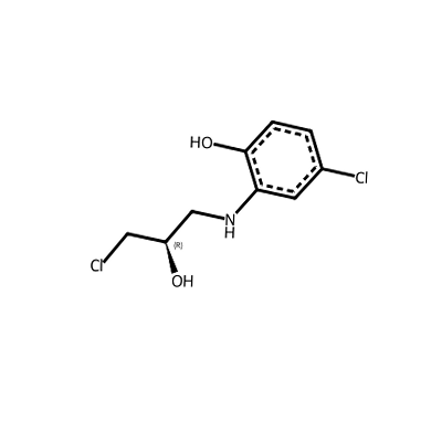 Oc1ccc(Cl)cc1NC[C@@H](O)CCl